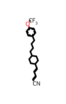 N#CC=CC=CC1CCC(CCCCc2ccc(OC(F)(F)F)cc2)CC1